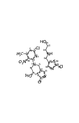 Cc1cc(Cl)nc(N(CCO)Cc2cnc(Cl)s2)c1[N+](=O)[O-].OCCNCc1cnc(Cl)s1